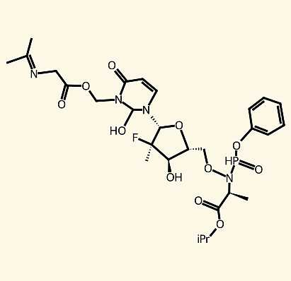 CC(C)=NCC(=O)OCN1C(=O)C=CN([C@@H]2O[C@H](CON([C@@H](C)C(=O)OC(C)C)[PH](=O)Oc3ccccc3)[C@@H](O)[C@@]2(C)F)C1O